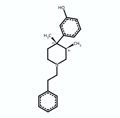 C[C@H]1CN(CCc2ccccc2)CC[C@]1(C)c1cccc(O)c1